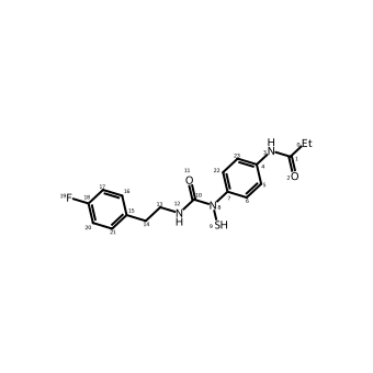 CCC(=O)Nc1ccc(N(S)C(=O)NCCc2ccc(F)cc2)cc1